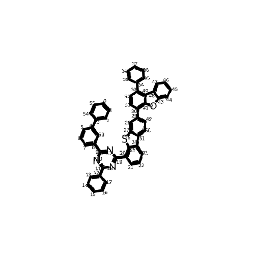 c1ccc(-c2cccc(-c3nc(-c4ccccc4)nc(-c4cccc5c4sc4cc(-c6ccc(-c7ccccc7)c7c6oc6ccccc67)ccc45)n3)c2)cc1